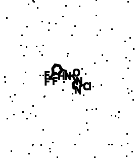 O=C(NCc1cccc(C(F)(F)F)c1)c1ccnc(Cl)n1